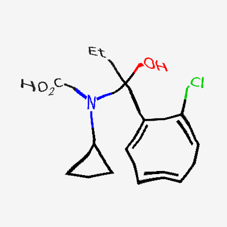 CCC(O)(c1ccccc1Cl)N(C(=O)O)C1CC1